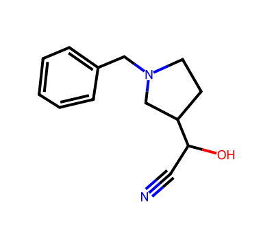 N#CC(O)C1CCN(Cc2ccccc2)C1